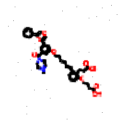 CN1CCN(C(=O)c2cc(OCCCCCCc3cccc(OCCCC(=O)O)c3CCC(=O)O)cc(C3=COC=C(C4=CC=CCC4)O3)c2)CC1